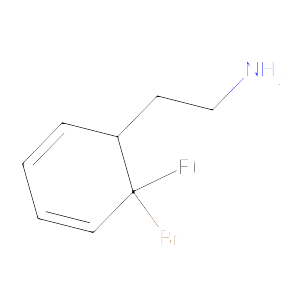 CCC1(Br)C=CC=CC1CCN